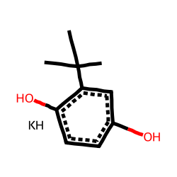 CC(C)(C)c1cc(O)ccc1O.[KH]